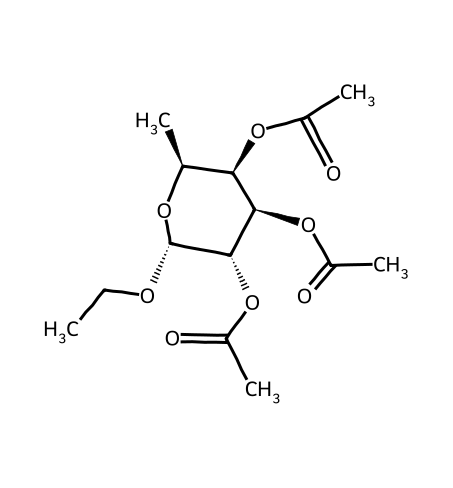 CCO[C@@H]1O[C@@H](C)[C@@H](OC(C)=O)[C@@H](OC(C)=O)[C@@H]1OC(C)=O